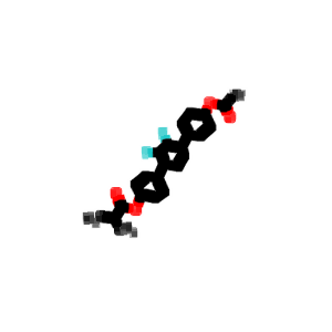 C=C(C)C(=O)Oc1ccc(-c2ccc(-c3ccc(OC(=O)C(C)C)cc3)c(F)c2F)cc1